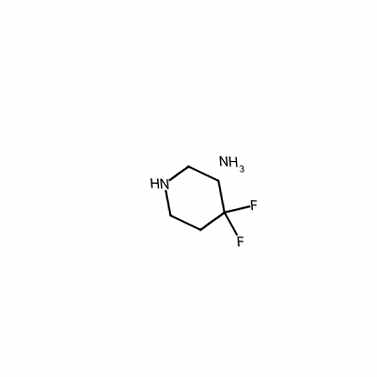 FC1(F)CCNCC1.N